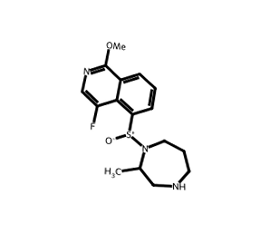 COc1ncc(F)c2c([S+]([O-])N3CCCNCC3C)cccc12